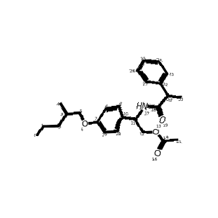 CCCC(C)COc1ccc(C(COC(C)=O)NC(=O)C(C)c2ccccc2)cc1